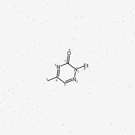 CCn1ncc(C)nc1=O